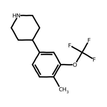 Cc1ccc(C2CCNCC2)cc1OC(F)(F)F